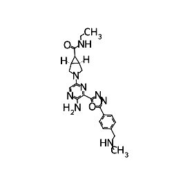 CCNC(=O)C1[C@H]2CN(c3cnc(N)c(-c4nnc(-c5ccc(CNC)cc5)o4)n3)C[C@@H]12